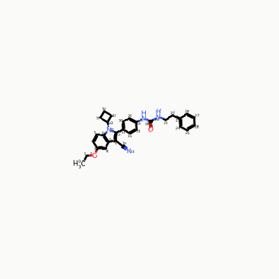 CCOc1ccc2c(c1)c(C#N)c(-c1ccc(NC(=O)NCCc3ccccc3)cc1)n2C1CCC1